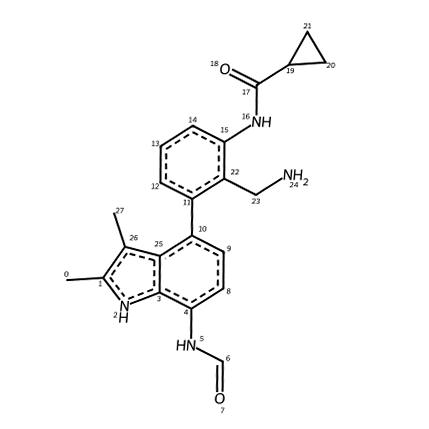 Cc1[nH]c2c(NC=O)ccc(-c3cccc(NC(=O)C4CC4)c3CN)c2c1C